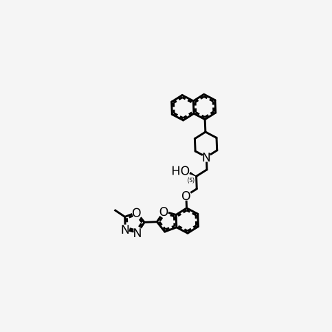 Cc1nnc(-c2cc3cccc(OC[C@@H](O)CN4CCC(c5cccc6ccccc56)CC4)c3o2)o1